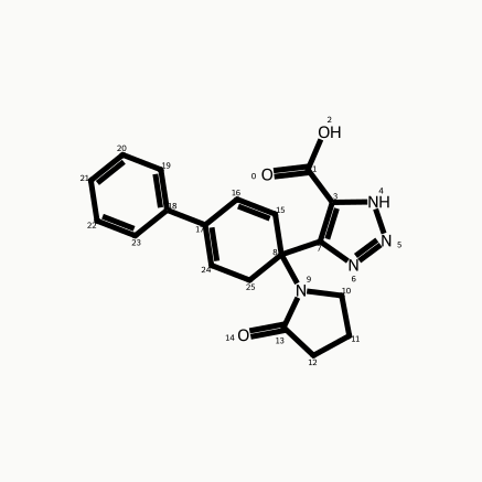 O=C(O)c1[nH]nnc1C1(N2CCCC2=O)C=CC(c2ccccc2)=CC1